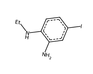 CCNc1ccc(I)cc1N